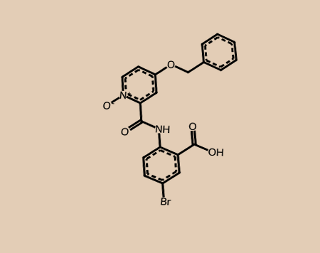 O=C(O)c1cc(Br)ccc1NC(=O)c1cc(OCc2ccccc2)cc[n+]1[O-]